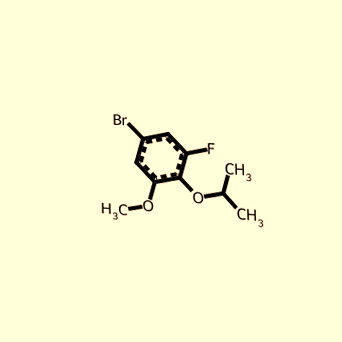 COc1cc(Br)cc(F)c1OC(C)C